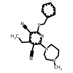 CCc1c(C#N)c(SCc2cc[c]cc2)nc(N2CCCN(C)CC2)c1C#N